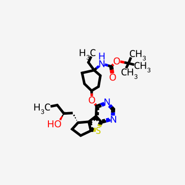 CC[C@H](O)C[C@H]1CCc2sc3ncnc(OC4CCC(CC)(NC(=O)OC(C)(C)C)CC4)c3c21